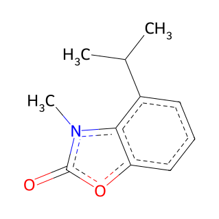 CC(C)c1cccc2oc(=O)n(C)c12